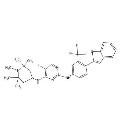 CN1C(C)(C)CC(Nc2nc(Nc3ccc(-c4cc5ccccc5s4)c(C(F)(F)F)c3)ncc2F)CC1(C)C